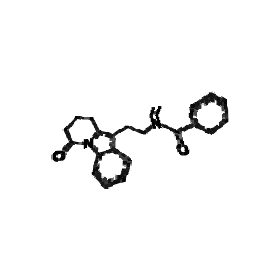 O=C(NCCc1c2n(c3ccccc13)C(=O)CCC2)c1ccccc1